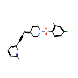 Cc1cccc(C#CC=C2CCN(S(=O)(=O)c3ccc(Br)cc3F)CC2)n1